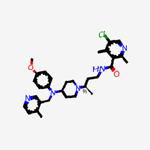 COc1ccc(N(Cc2cnccc2C)C2CCN([C@H](C)CCNC(=O)c3c(C)ncc(Cl)c3C)CC2)cc1